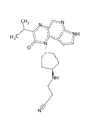 CC(C)c1nc2cnc3[nH]ccc3c2n([C@H]2CC[C@H](NCCC#N)CC2)c1=O